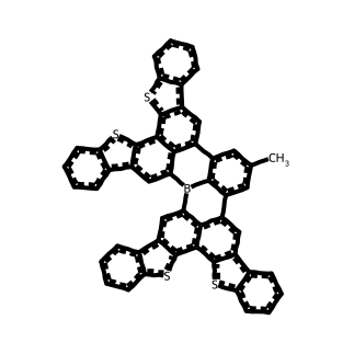 Cc1cc2c3c(c1)-c1cc4c5ccccc5sc4c4c1c(cc1c5ccccc5sc14)B3c1cc3c4ccccc4sc3c3c1c-2cc1c2ccccc2sc13